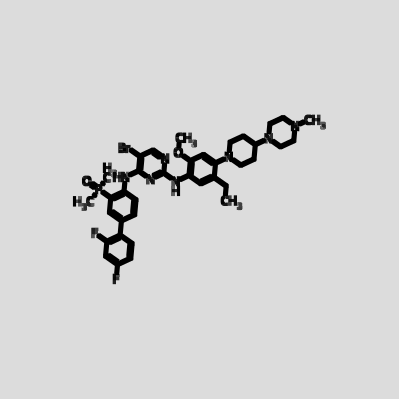 CCc1cc(Nc2ncc(Br)c(Nc3ccc(-c4ccc(F)cc4F)cc3P(C)(C)=O)n2)c(OC)cc1N1CCC(N2CCN(C)CC2)CC1